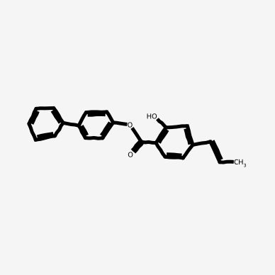 CC=Cc1ccc(C(=O)Oc2ccc(-c3ccccc3)cc2)c(O)c1